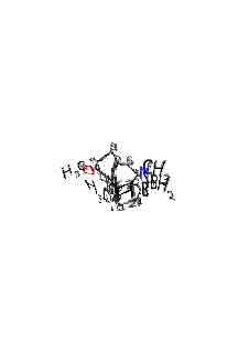 BC(B)N(C)[C@H]1Cc2ccc(OC)cc2[C@]2(CC)CCCCC12